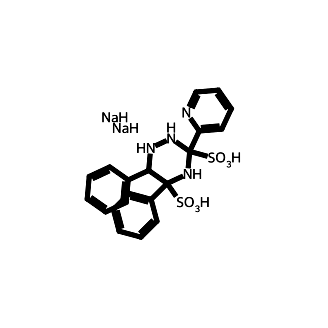 O=S(=O)(O)C1(c2ccccn2)NNC(c2ccccc2)C(c2ccccc2)(S(=O)(=O)O)N1.[NaH].[NaH]